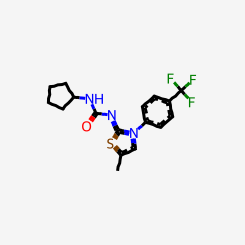 Cc1cn(-c2ccc(C(F)(F)F)cc2)c(=NC(=O)NC2CCCC2)s1